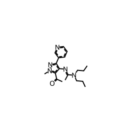 CCCN(CCC)/C(C)=N/c1c(-c2cccnc2)nn(C)c1C(C)=O